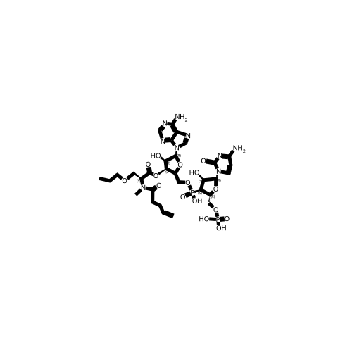 C=CCCC(=O)N(C)[C@@H](COCCC)C(=O)O[C@@H]1C(COP(=O)(O)[C@H]2[C@@H](O)[C@H](n3ccc(N)nc3=O)O[C@@H]2COP(=O)(O)O)O[C@@H](n2cnc3c(N)ncnc32)[C@@H]1O